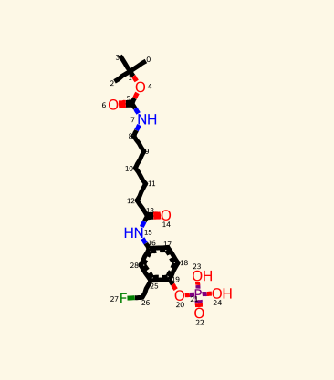 CC(C)(C)OC(=O)NCCCCCC(=O)Nc1ccc(OP(=O)(O)O)c(CF)c1